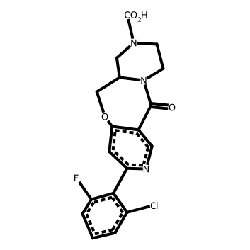 O=C(O)N1CCN2C(=O)c3cnc(-c4c(F)cccc4Cl)cc3OCC2C1